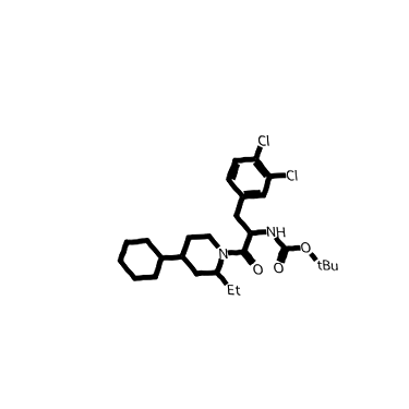 CCC1CC(C2CCCCC2)CCN1C(=O)C(Cc1ccc(Cl)c(Cl)c1)NC(=O)OC(C)(C)C